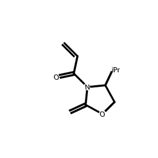 C=CC(=O)N1C(=C)OCC1C(C)C